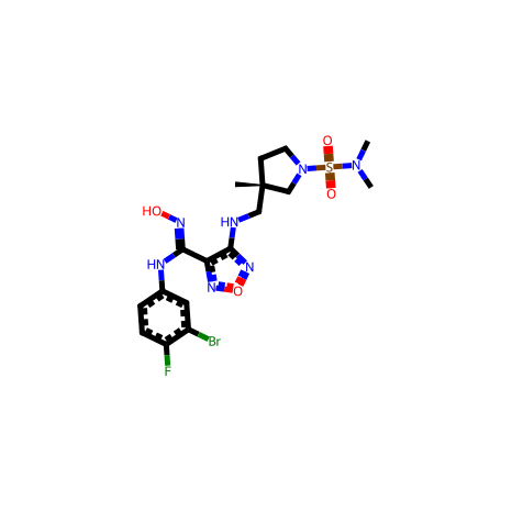 CN(C)S(=O)(=O)N1CC[C@@](C)(CNc2nonc2/C(=N/O)Nc2ccc(F)c(Br)c2)C1